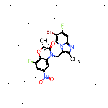 Cc1nc2cc(F)c(Br)cn2c1CN1C(=O)[C@@H](C)Oc2c(F)cc([N+](=O)[O-])cc21